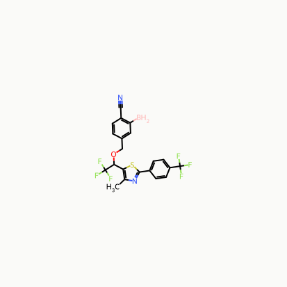 Bc1cc(COC(c2sc(-c3ccc(C(F)(F)F)cc3)nc2C)C(F)(F)F)ccc1C#N